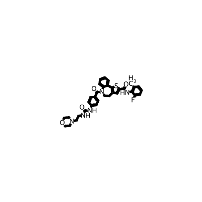 Cc1cccc(F)c1NC(=O)c1cc2c(s1)-c1ccccc1N(C(=O)c1ccc(NC(=O)NCCN3CCOCC3)cc1)CC2